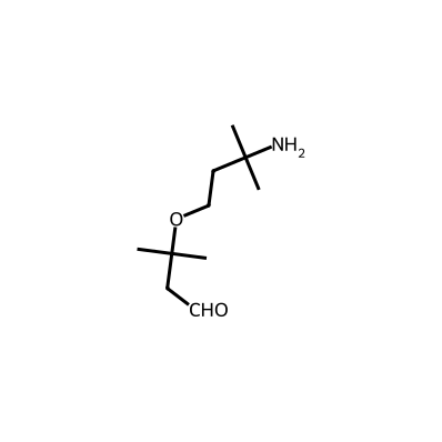 CC(C)(N)CCOC(C)(C)CC=O